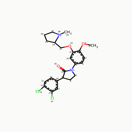 COc1ccc(N2CCC(c3ccc(Cl)c(Cl)c3)C2=O)cc1OCC1CCCN1C